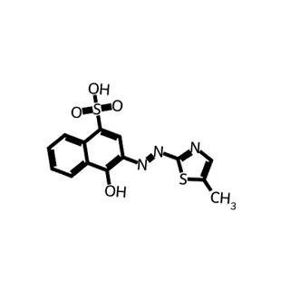 Cc1cnc(/N=N/c2cc(S(=O)(=O)O)c3ccccc3c2O)s1